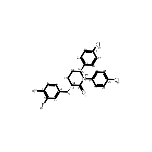 O=C1[C@H](Cc2ccc(F)c(F)c2)CC[C@@H](c2ccc(Cl)cc2)N1c1ccc(Cl)cc1